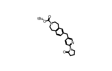 CC(C)(C)OC(=O)N1CCc2ccc(Cc3ccc(N4CCCC4=O)nc3)cc2CC1